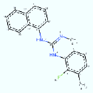 CN=C(Nc1cccc(C)c1F)Nc1cccc2ccccc12